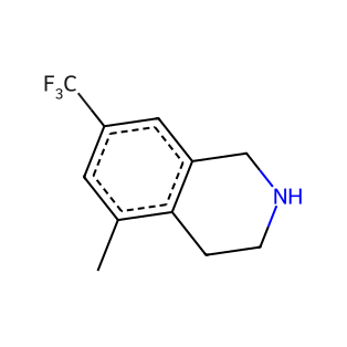 Cc1cc(C(F)(F)F)cc2c1CCNC2